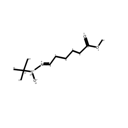 COC(=O)CCCCC=N[S+]([O-])C(C)(C)C